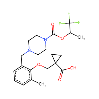 Cc1cccc(CN2CCN(C(=O)OC(C)C(F)(F)F)CC2)c1OCC1(C(=O)O)CC1